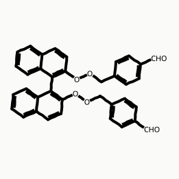 O=Cc1ccc(COOc2ccc3ccccc3c2-c2c(OOCc3ccc(C=O)cc3)ccc3ccccc23)cc1